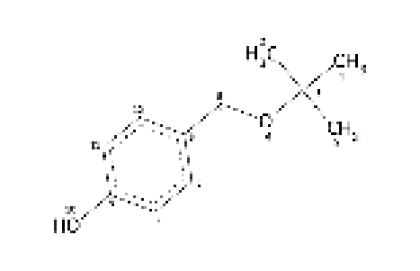 CC(C)(C)O[CH]c1ccc(O)cc1